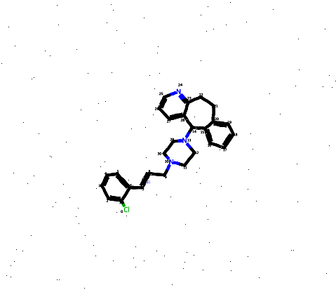 Clc1ccccc1/C=C/CN1CCN(C2c3ccccc3CCc3ncccc32)CC1